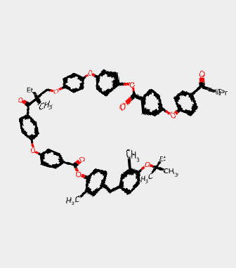 CCC(C)(C)Oc1ccc(Cc2ccc(OC(=O)c3ccc(Oc4ccc(C(=O)C(C)(CC)COc5ccc(Oc6ccc(OC(=O)c7ccc(Oc8ccc(C(=O)C(C)C)cc8)cc7)cc6)cc5)cc4)cc3)c(C)c2)cc1C